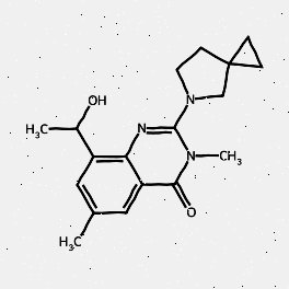 Cc1cc(C(C)O)c2nc(N3CCC4(CC4)C3)n(C)c(=O)c2c1